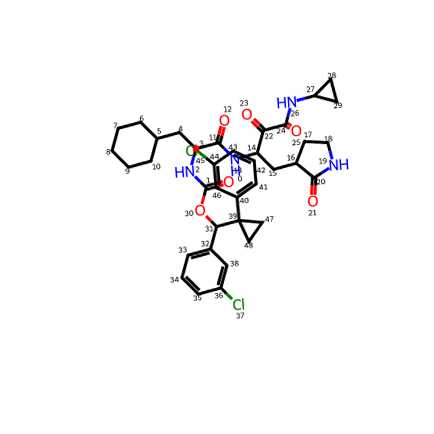 O=C(NC(CC1CCCCC1)C(=O)NC(CC1CCNC1=O)C(=O)C(=O)NC1CC1)OC(c1cccc(Cl)c1)C1(c2cccc(Cl)c2)CC1